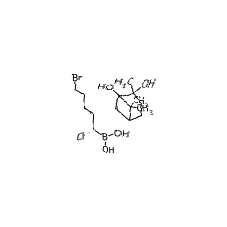 CC1(O)CCC2CC1(O)C2(C)C.OB(O)[C@H](Cl)CCCCBr